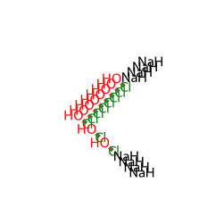 OCl.OCl.OCl.OCl.OCl.OCl.OCl.OCl.OCl.OCl.[NaH].[NaH].[NaH].[NaH].[NaH].[NaH].[NaH].[NaH]